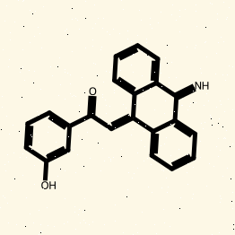 N=C1c2ccccc2C(=CC(=O)c2cccc(O)c2)c2ccccc21